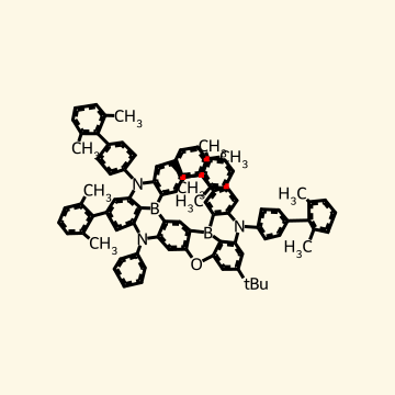 Cc1cccc(C)c1-c1ccc(N2c3ccc(-c4c(C)cccc4C)cc3B3c4cc5c(cc4Oc4cc(C(C)(C)C)cc2c43)N(c2ccccc2)c2cc(-c3c(C)cccc3C)cc3c2B5c2cc(-c4c(C)cccc4C)ccc2N3c2ccc(-c3c(C)cccc3C)cc2)cc1